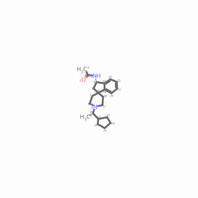 CC(=O)N[C@H]1CC2(CCN([C@@H](C)C3CCCC3)CC2)c2ccccc21